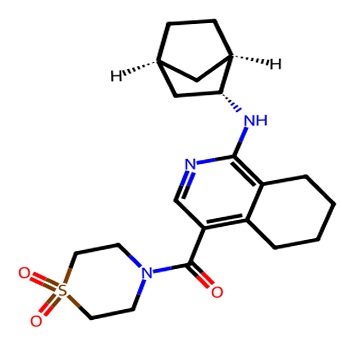 O=C(c1cnc(N[C@@H]2C[C@H]3CC[C@@H]2C3)c2c1CCCC2)N1CCS(=O)(=O)CC1